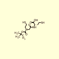 CC(C)(C)OC(=O)N(CCS)CC(=O)N[C@@H](CCS)C(=O)O